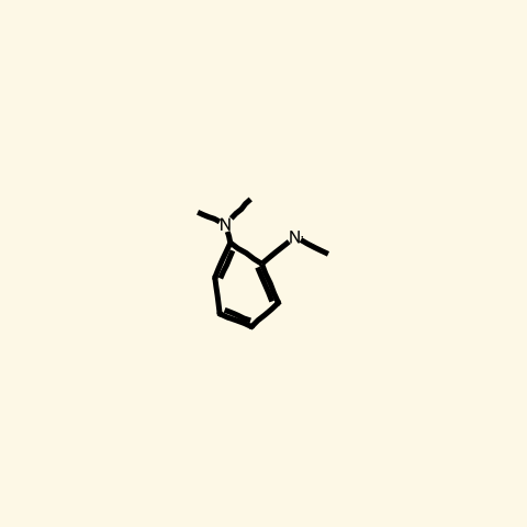 C[N]c1ccccc1N(C)C